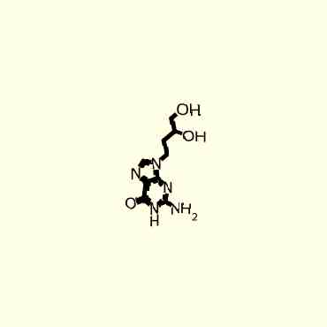 Nc1nc2c(ncn2CCC(O)CO)c(=O)[nH]1